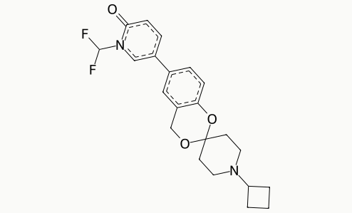 O=c1ccc(-c2ccc3c(c2)COC2(CCN(C4CCC4)CC2)O3)cn1C(F)F